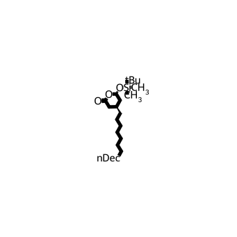 CCCCCCCCCCCCCCCCC[C@H]1CC(=O)O[C@@H](O[Si](C)(C)C(C)(C)C)C1